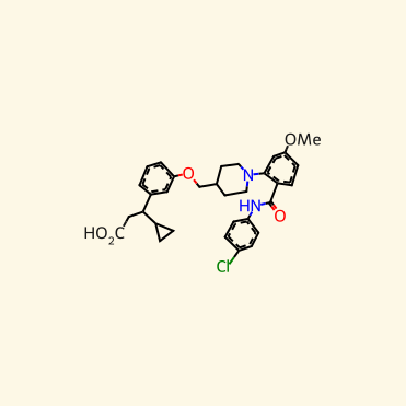 COc1ccc(C(=O)Nc2ccc(Cl)cc2)c(N2CCC(COc3cccc(C(CC(=O)O)C4CC4)c3)CC2)c1